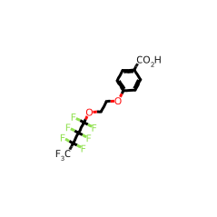 O=C(O)c1ccc(OCCOC(F)(F)C(F)(F)C(F)(F)C(F)(F)F)cc1